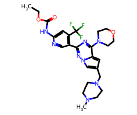 CCOC(=O)Nc1cc(C(F)(F)F)c(-c2nc(N3CCOCC3)c3cc(CN4CCN(C)CC4)cn3n2)cn1